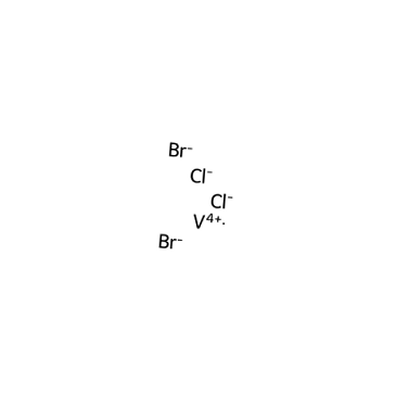 [Br-].[Br-].[Cl-].[Cl-].[V+4]